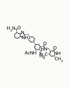 CC(=O)Nc1cc(-c2ccc(Cc3nc4c(C(N)=O)cccc4[nH]3)cc2)cc(C(=O)NCc2c(C)cc(C)[nH]c2=O)c1C